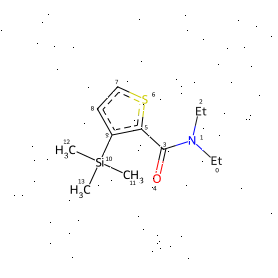 CCN(CC)C(=O)c1sccc1[Si](C)(C)C